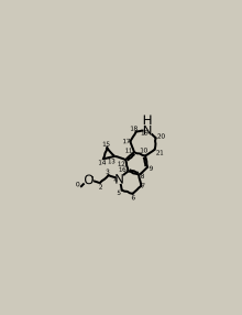 COCCN1CCCc2cc3c(c(C4CC4)c21)CCNCC3